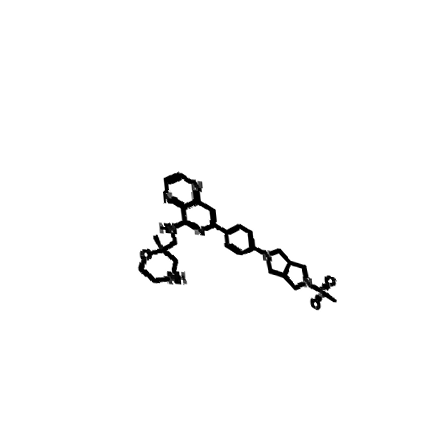 C[C@@]1(CNc2nc(-c3ccc(N4CC5CN(S(C)(=O)=O)CC5C4)cc3)cc3nccnc23)CNCCO1